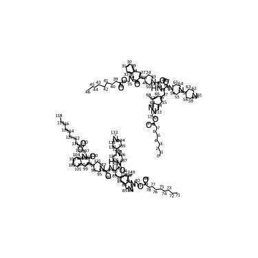 CCCCCCCCC(=O)OCn1cc2cc(C[C@@H](NC(=O)N3CCC(c4cc5ccccc5n(COC(=O)CCCCCCCC)c4=O)CC3)C(=O)N3CCN(C4CCN(C)CC4)CC3)cc(C)c2n1.CCCCCCCCC(=O)OCn1ncc2cc(C[C@@H](NC(=O)N3CCC(c4cc5ccccc5n(COC(=O)CCCCCCCC)c4=O)CC3)C(=O)N3CCN(C4CCN(C)CC4)CC3)cc(C)c21